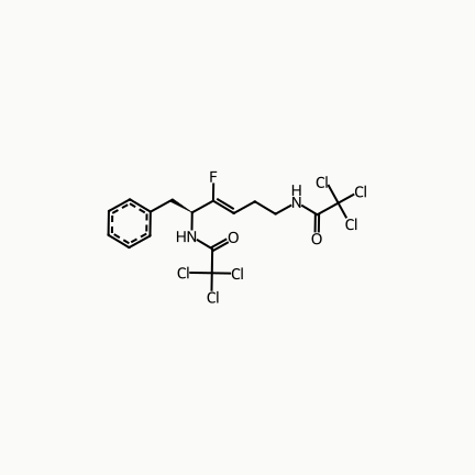 O=C(NCC/C=C(\F)[C@H](Cc1ccccc1)NC(=O)C(Cl)(Cl)Cl)C(Cl)(Cl)Cl